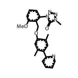 COc1cccc(-n2nnn(C)c2=O)c1COc1cc(C)c(-c2ccccn2)cc1C